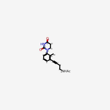 CC(=O)NCCC#Cc1cccc(N2CCC(=O)NC2=O)c1C